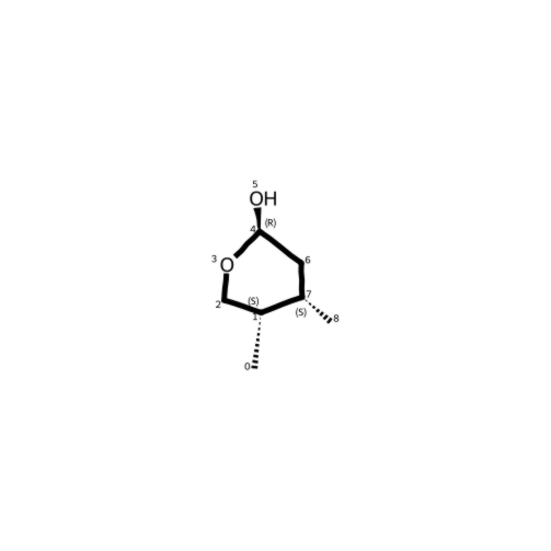 C[C@@H]1CO[C@@H](O)C[C@@H]1C